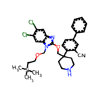 C[Si](C)(C)CCOCn1c(OCC2(c3ccc(-c4ccccc4)cc3C#N)CCNCC2)nc2cc(Cl)c(Cl)cc21